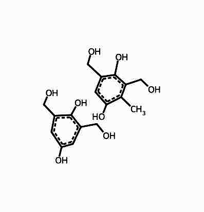 Cc1c(O)cc(CO)c(O)c1CO.OCc1cc(O)cc(CO)c1O